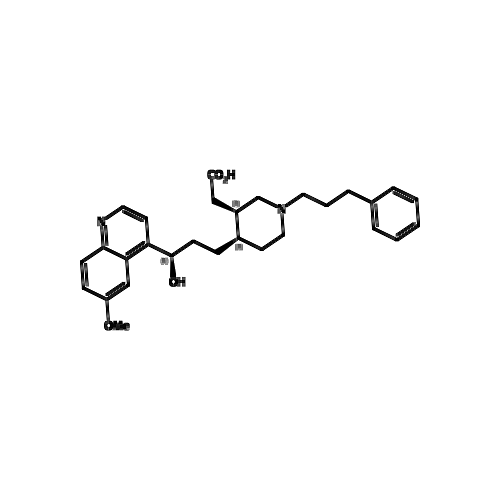 COc1ccc2nccc([C@H](O)CC[C@@H]3CCN(CCCc4ccccc4)C[C@@H]3CC(=O)O)c2c1